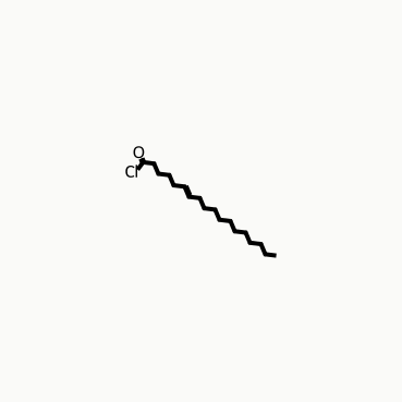 CCCCCCCCCCCC=CCCCCC(=O)Cl